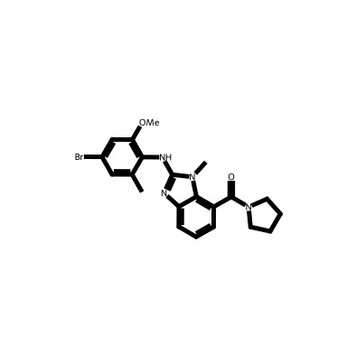 COc1cc(Br)cc(C)c1Nc1nc2cccc(C(=O)N3CCCC3)c2n1C